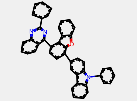 c1ccc(-c2nc(-c3ccc(-c4ccc5c(c4)c4ccccc4n5-c4ccccc4)c4oc5ccccc5c34)c3ccccc3n2)cc1